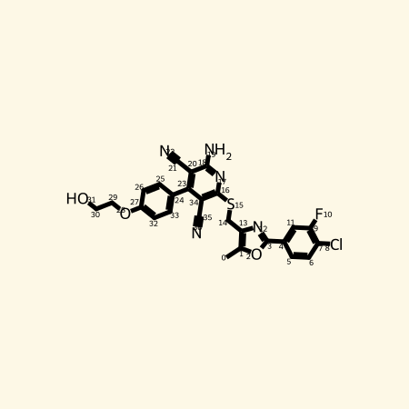 Cc1oc(-c2ccc(Cl)c(F)c2)nc1CSc1nc(N)c(C#N)c(-c2ccc(OCCO)cc2)c1C#N